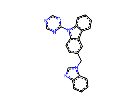 c1ccc2c(c1)ncn2Cc1ccc2c(c1)c1ccccc1n2-c1ncncn1